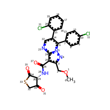 COCc1nn2c(-c3ccc(Cl)cc3)c(-c3ccccc3Cl)cnc2c1C(=O)N[C@@H]1C(=O)CSC1=O